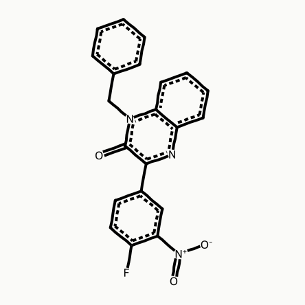 O=c1c(-c2ccc(F)c([N+](=O)[O-])c2)nc2ccccc2n1Cc1ccccc1